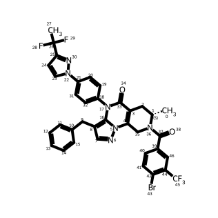 C[C@H]1Cc2c(n3ncc(Cc4ccccc4)c3n(-c3ccc(-n4ccc(C(C)(F)F)n4)cc3)c2=O)CN1C(=O)c1ccc(Br)c(C(F)(F)F)c1